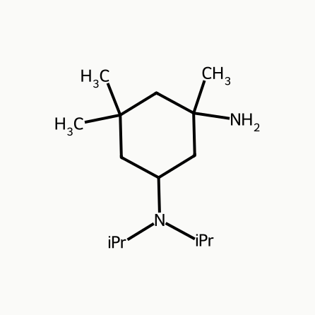 CC(C)N(C(C)C)C1CC(C)(C)CC(C)(N)C1